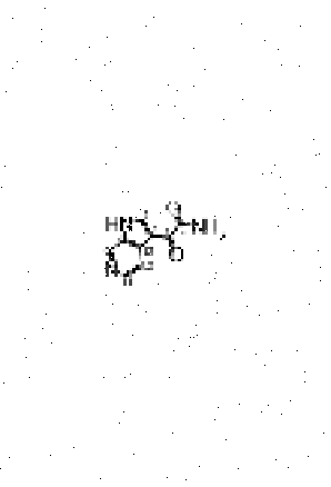 NC(=O)C(=O)c1c[nH]c2cnccc12